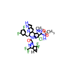 Cn1nc(NS(C)(=O)=O)c2c(Cl)ccc(-c3cc4cc[nH]c4nc3[C@H](Cc3cc(F)cc(F)c3)NC(=O)Cn3nc(C(F)F)c4c3C(F)(F)C3C[C@H]43)c21